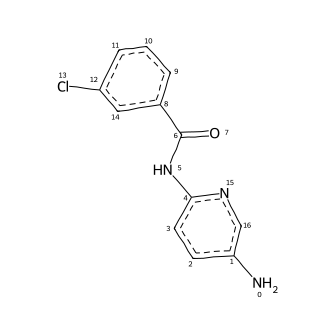 Nc1ccc(NC(=O)c2cccc(Cl)c2)nc1